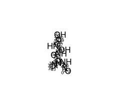 CC(=O)N1CC(Nc2cc(C(=O)NCC(O)[C@@H]3Cc4ccc(O)cc4CN3)cc(N3CCCCC3)n2)C1